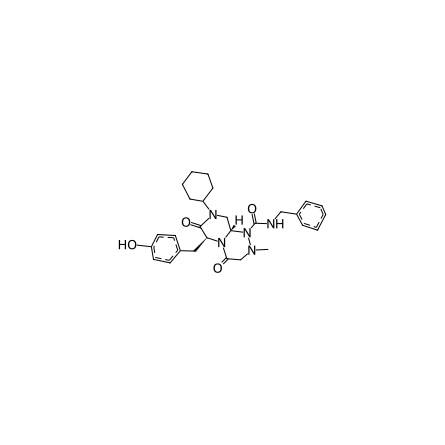 CN1CC(=O)N2[C@@H](Cc3ccc(O)cc3)C(=O)N(C3CCCCC3)C[C@@H]2N1C(=O)NCc1ccccc1